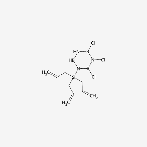 C=CC[Si](CC=C)(CC=C)N1BNB(Cl)N(Cl)B1Cl